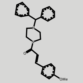 COc1ccc(/C=C/C(=O)N2CCN(C(c3ccccc3)c3ccccc3)CC2)cc1